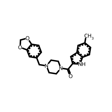 Cc1ccc2[nH]c(C(=O)N3CCN(Cc4ccc5c(c4)OCO5)CC3)cc2c1